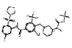 CN(C(=O)c1cc(Cl)c(CN2CCC[C@H](N(C)C(=O)OC(C)(C)C)C2)c(C(F)(F)F)c1)c1cc(Cl)ccc1S(=O)(=O)C1CCCC1